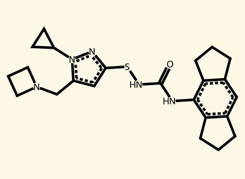 O=C(NSc1cc(CN2CCC2)n(C2CC2)n1)Nc1c2c(cc3c1CCC3)CCC2